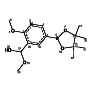 COc1ncc(B2OC(C)(C)C(C)(C)O2)cc1C(O)OC